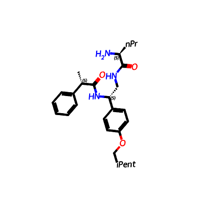 CCCC(C)COc1ccc([C@@H](CNC(=O)[C@@H](N)CCC)NC(=O)[C@@H](C)c2ccccc2)cc1